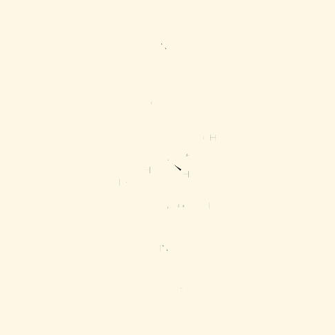 CC1CC2NC(=O)C=C[C@]2(C)[C@@H]2CC[C@]3(C)CC(Oc4cccnc4)C[C@H]3[C@H]12